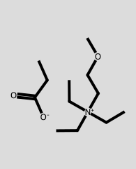 CCC(=O)[O-].CC[N+](CC)(CC)CCOC